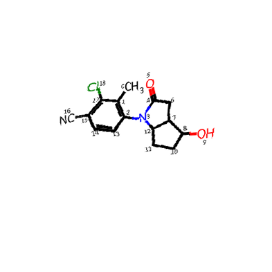 Cc1c(N2C(=O)CC3C(O)CCC32)ccc(C#N)c1Cl